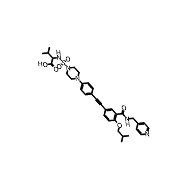 CC(C)COc1ccc(C#Cc2ccc(N3CCN(S(=O)(=O)NC(C(=O)O)C(C)C)CC3)cc2)cc1C(=O)NCc1ccncc1